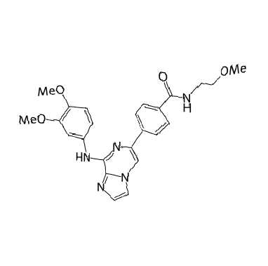 COCCNC(=O)c1ccc(-c2cn3ccnc3c(Nc3ccc(OC)c(OC)c3)n2)cc1